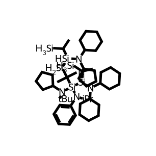 CC(C)N(c1ccccc1)[Si](N(C1CCCC1)C(C)(C)C)([SiH](C(C)[SiH3])N(C1CCCCC1)C1CCCCC1)C(C)(C)[SiH2][SiH](C(C)[SiH3])N(C1CCCCC1)C1CCCC1